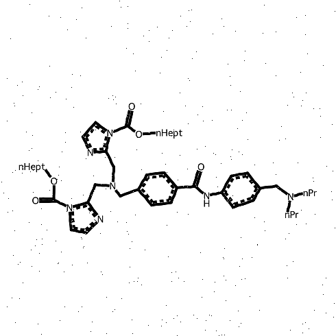 CCCCCCCOC(=O)n1ccnc1CN(Cc1ccc(C(=O)Nc2ccc(CN(CCC)CCC)cc2)cc1)Cc1nccn1C(=O)OCCCCCCC